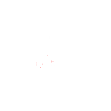 O.O.O.[Cl-].[Cl-].[Cl-].[In+3]